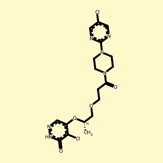 C[C@@H](COCCC(=O)N1CCN(c2ncc(Cl)cn2)CC1)Oc1cn[nH]c(=O)c1Cl